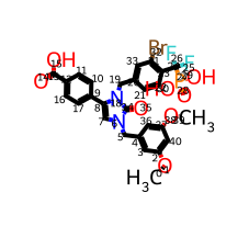 COc1cc(Cn2cc(-c3ccc(C(=O)O)cc3)n(Cc3ccc(C(F)(F)P(=O)(O)O)c(Br)c3)c2=O)cc(OC)c1